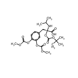 COC(=O)Oc1ccc(C[C@](NC(C)C)(OC(=O)OC(C)(C)C)C(=O)O)cc1OC(=O)OC